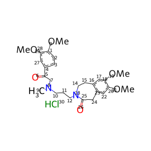 COc1ccc(C(=O)CN(C)CCCN2CCc3cc(OC)c(OC)cc3CC2=O)cc1OC.Cl